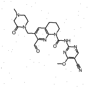 COc1nc(NC(=O)N2CCCc3cc(CN4CCN(C)CC4=O)c(C=O)nc32)ncc1C#N